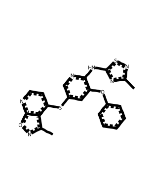 Cc1nsc(Nc2ncc(Sc3ccnc4onc(C)c34)cc2Oc2ccccc2)n1